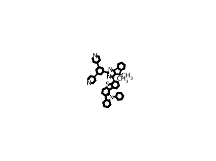 CC1(C)c2ccccc2-c2nc(-c3cc(-c4ccncc4)cc(-c4ccncc4)c3)nc(-c3cccc4c3sc3ccc5c6ccccc6n(-c6ccccc6)c5c34)c21